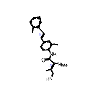 CN/C(C(=O)Nc1ccc(/C=C/c2ccccc2C)cc1C)=C(/C)C=N